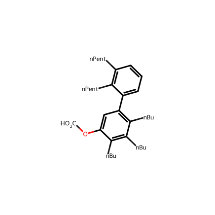 CCCCCc1cccc(-c2cc(OC(=O)O)c(CCCC)c(CCCC)c2CCCC)c1CCCCC